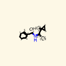 N#CC(NCc1ccccc1)C1(C=O)CC1